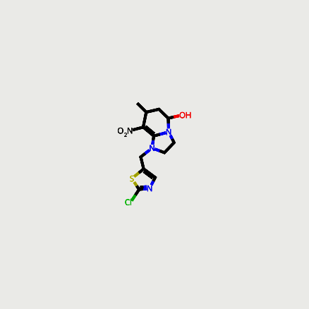 CC1CC(O)N2CCN(Cc3cnc(Cl)s3)C2=C1[N+](=O)[O-]